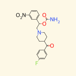 NC(=O)OC(CN1CCC(C(=O)c2ccc(F)cc2)CC1)c1cccc([N+](=O)[O-])c1